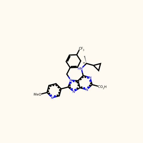 COc1ccc(-c2nc3nc(C(=O)O)nc(N[C@H](C)C4CC4)c3n2CC2=CCC(C(F)(F)F)C=C2)cn1